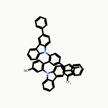 N#Cc1ccc(-c2cc(-c3cc(C(F)(F)F)cc(C(F)(F)F)c3)ccc2-n2c3ccccc3c3cc(-c4ccccc4)ccc32)c(-n2c3ccccc3c3cc(-c4ccccc4)ccc32)c1